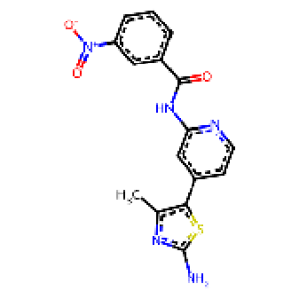 Cc1nc(N)sc1-c1ccnc(NC(=O)c2cccc([N+](=O)[O-])c2)c1